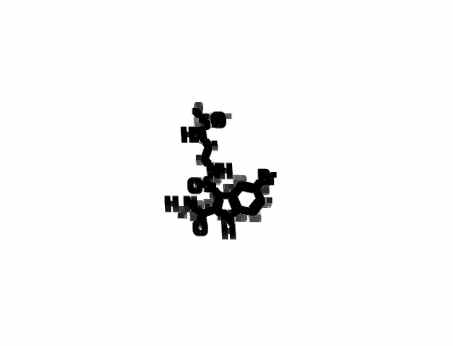 C[S+]([O-])NCCN[S+]([O-])c1c(C(N)=O)[nH]c2ccc(Br)cc12